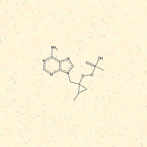 CC1CC1(Cn1cnc2c(N)ncnc21)OOP(C)(=O)O